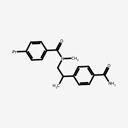 CC(C)c1ccc(C(=O)N(C)CC(C)c2ccc(C(N)=O)cc2)cc1